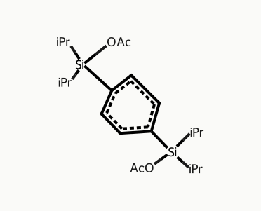 CC(=O)O[Si](c1ccc([Si](OC(C)=O)(C(C)C)C(C)C)cc1)(C(C)C)C(C)C